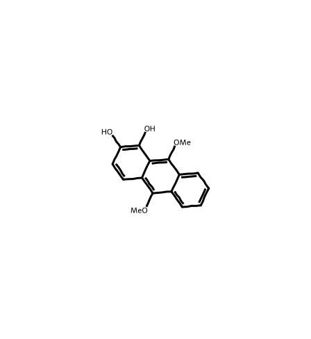 COc1c2ccccc2c(OC)c2c(O)c(O)ccc12